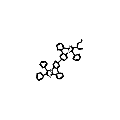 C=C/C=C(\C=C)c1nc2c3ccccc3c3cc(-c4ccc5c(c4)c4ccccc4c4nc(-c6ccccc6)c(-c6ccccc6)n54)ccc3n2c1-c1ccccc1